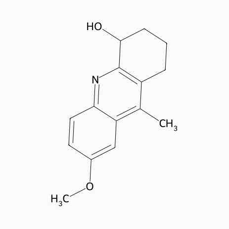 COc1ccc2nc3c(c(C)c2c1)CCCC3O